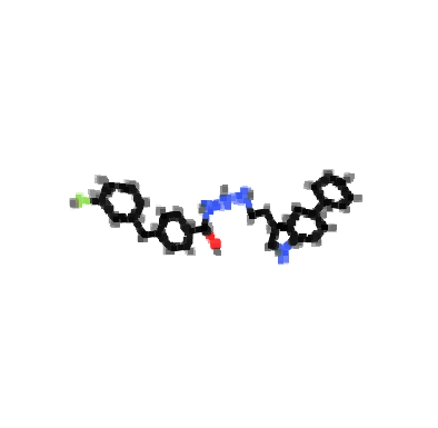 O=C(N=[N+]=NCCc1c[nH]c2ccc(-c3ccccc3)cc12)c1ccc(Cc2cccc(F)c2)cc1